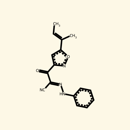 C/C=C(\C)c1cc(C(=O)/C(C#N)=N/Nc2ccccc2)no1